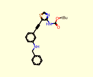 CC(C)(C)OC(=O)Nc1ncsc1C#Cc1cccc(NCc2ccccc2)c1